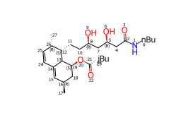 CCCCNC(=O)C[C@H](O)C[C@H](O)CC[C@@H]1C2C(=C[C@H](C)C[C@@H]2OC(=O)[C@@H](C)CC)C=C[C@@H]1C